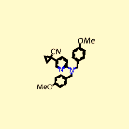 COc1ccc(CN(Cc2ccc(OC)cc2)c2ccc(C3(C#N)CC3)cn2)cc1